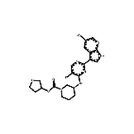 O=C(OC1CCOC1)N1CCC[C@H](Nc2nc(-c3c[nH]c4ncc(Cl)cc34)ncc2F)C1